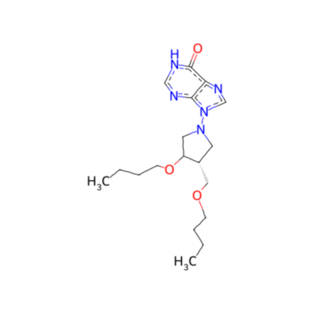 CCCCOC[C@H]1CN(n2cnc3c(=O)[nH]cnc32)CC1OCCCC